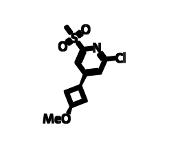 CO[C@H]1C[C@@H](c2cc(Cl)nc(S(C)(=O)=O)c2)C1